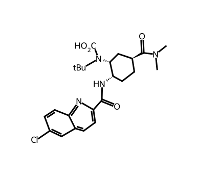 CN(C)C(=O)[C@H]1CC[C@H](NC(=O)c2ccc3cc(Cl)ccc3n2)[C@H](N(C(=O)O)C(C)(C)C)C1